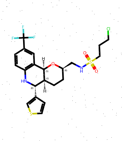 O=S(=O)(CCCCl)NC[C@H]1CC[C@@H]2[C@H](O1)c1cc(C(F)(F)F)ccc1N[C@H]2c1ccsc1